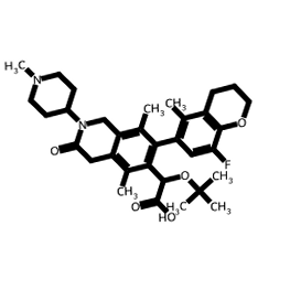 Cc1c(-c2c(C)c3c(c(C)c2C(OC(C)(C)C)C(=O)O)CC(=O)N(C2CCN(C)CC2)C3)cc(F)c2c1CCCO2